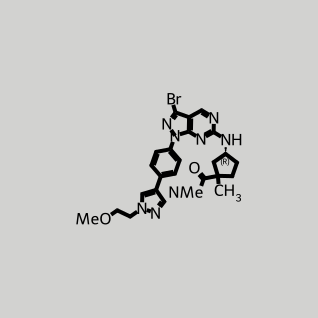 CNC(=O)C1(C)CC[C@@H](Nc2ncc3c(Br)nn(-c4ccc(-c5cnn(CCOC)c5)cc4)c3n2)C1